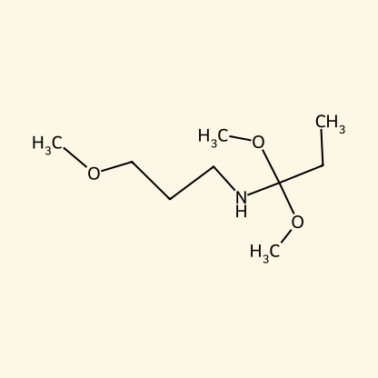 CCC(NCCCOC)(OC)OC